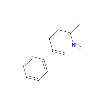 C=C(N)/C=C\C(=C)c1ccccc1